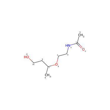 CC(=O)NCCOC(C)CCO